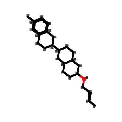 CC=CCOC1CCC2CC(C3CCc4cc(C)ccc4C3)CCC2C1